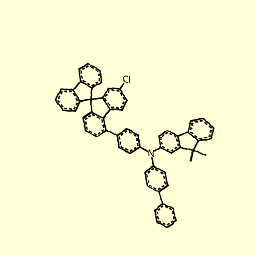 CC1(C)c2ccccc2-c2ccc(N(c3ccc(-c4ccccc4)cc3)c3ccc(-c4cccc5c4-c4ccc(Cl)cc4C54c5ccccc5-c5ccccc54)cc3)cc21